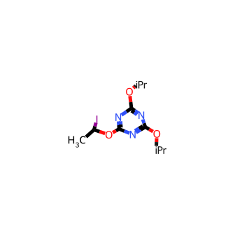 CC(C)Oc1nc(OC(C)C)nc(OC(C)I)n1